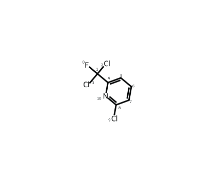 FC(Cl)(Cl)c1cccc(Cl)n1